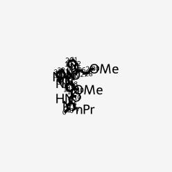 C=C/N=C(\C=C(/C)CCC)NC(=O)c1ccc(-c2nc([C@@H]3CCCCN3C(=O)C/C=C\COC)n3ccnc(N)c23)cc1OC